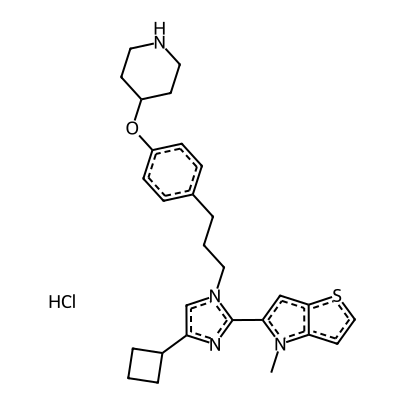 Cl.Cn1c(-c2nc(C3CCC3)cn2CCCc2ccc(OC3CCNCC3)cc2)cc2sccc21